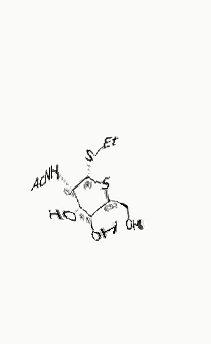 CCS[C@@H]1S[C@@H](CO)[C@@H](O)[C@H](O)[C@@H]1NC(C)=O